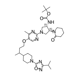 Cc1nc(N2C[C@H](NC(=O)OC(C)(C)C)[C@@H](N3CCCCC3=O)C2)ncc1OCCC(C)C1CCN(c2nc(C(C)C)no2)CC1